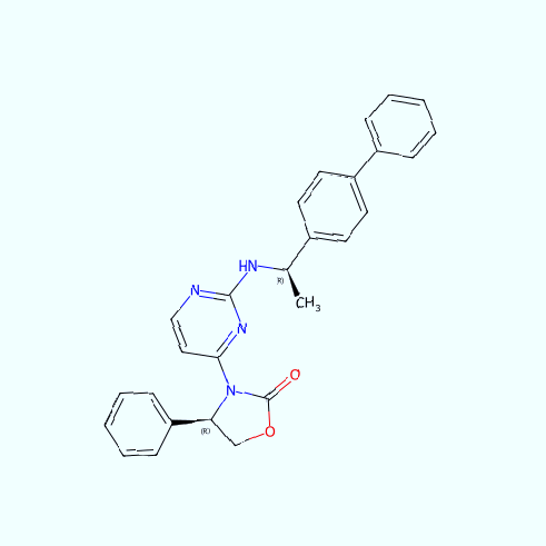 C[C@@H](Nc1nccc(N2C(=O)OC[C@H]2c2ccccc2)n1)c1ccc(-c2ccccc2)cc1